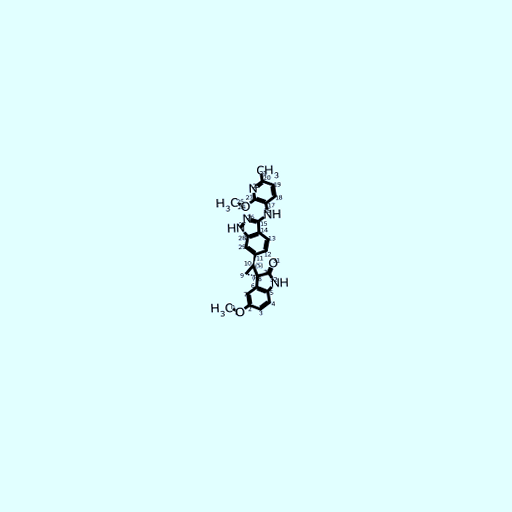 COc1ccc2c(c1)[C@]1(C[C@H]1c1ccc3c(Nc4ccc(C)nc4OC)n[nH]c3c1)C(=O)N2